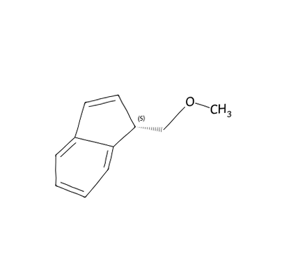 COC[C@H]1C=Cc2ccccc21